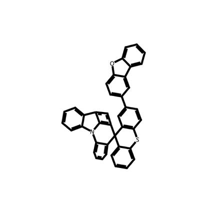 c1ccc2c(c1)Sc1ccc(-c3ccc4oc5ccccc5c4c3)cc1C21c2ccccc2-n2c3ccccc3c3cccc1c32